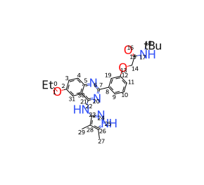 CCOc1ccc2nc(-c3cccc(OCC(=O)NC(C)(C)C)c3)nc(Nc3n[nH]c(C)c3C)c2c1